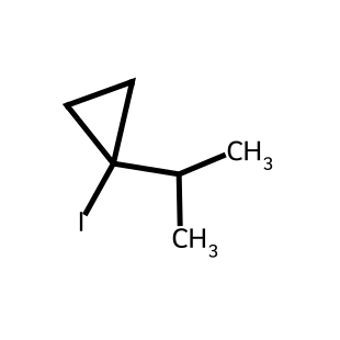 CC(C)C1(I)CC1